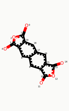 O=c1oc(=O)c2cc3cc4c(=O)oc(=O)c4cc3cc12